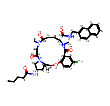 CCCCC(=O)N[C@H]1C[C@H]2COc3ccc(F)cc3C(=O)N(C)[C@@H](C(=O)NCc3ccc4ccccc4c3)CCC(=O)N(C)CC(=O)N2C1